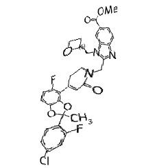 COC(=O)c1ccc2nc(CN3CCC(c4c(F)ccc5c4OC(C)(c4ccc(Cl)cc4F)O5)=CC3=O)n(C[C@@H]3CCO3)c2c1